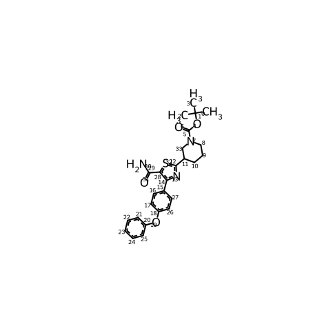 CC(C)(C)OC(=O)N1CCCC(c2nc(-c3ccc(Oc4ccccc4)cc3)c(C(N)=O)s2)C1